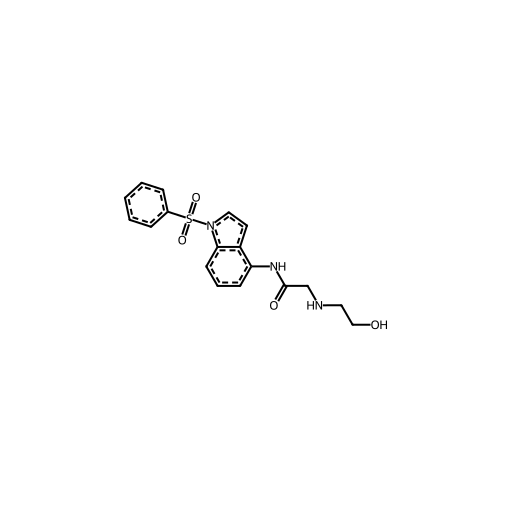 O=C(CNCCO)Nc1cccc2c1ccn2S(=O)(=O)c1ccccc1